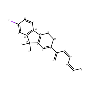 C=C(/C=C\C=C/C)C1=CC2=C(CC1)c1ccc(I)cc1C2(C)C